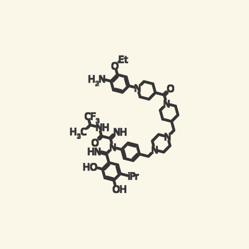 CCOc1cc(N2CCC(C(=O)N3CCC(CN4CCN(Cc5ccc(N(C(=N)C(=O)NC(C)C(F)(F)F)C(=N)c6cc(C(C)C)c(O)cc6O)cc5)CC4)CC3)CC2)ccc1N